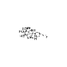 CS[C@H]1O[C@H]([C@H](NC(=O)C2CC[C@H](CCCF)CCN2)C(C)C)[C@H](O)[C@H](O)[C@H]1O